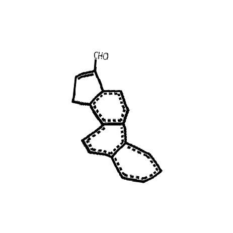 O=CC1=CCc2c1ccc1c2ccc2ccccc21